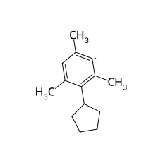 Cc1[c]c(C)c(C2CCCC2)c(C)c1